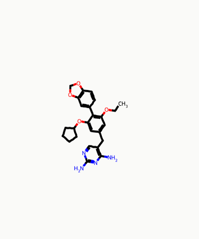 CCOc1cc(Cc2cnc(N)nc2N)cc(OC2CCCC2)c1-c1ccc2c(c1)OCO2